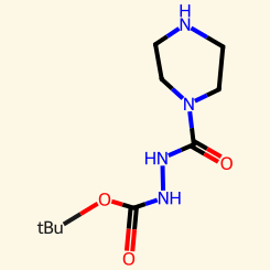 CC(C)(C)OC(=O)NNC(=O)N1CCNCC1